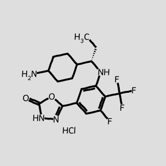 CC[C@H](Nc1cc(-c2n[nH]c(=O)o2)cc(F)c1C(F)(F)F)C1CCC(N)CC1.Cl